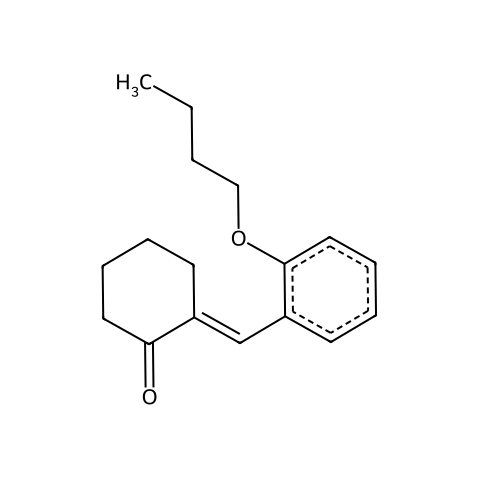 CCCCOc1ccccc1C=C1CCCCC1=O